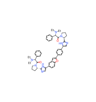 CCN(CC)C(C(=O)N1CCC[C@H]1c1ncc(-c2ccc(-c3cc4cc(-c5cnc([C@@H]6CCCN6C(=O)C(c6ccccc6)N(CC)CC)[nH]5)ccc4o3)cc2)[nH]1)c1ccccc1